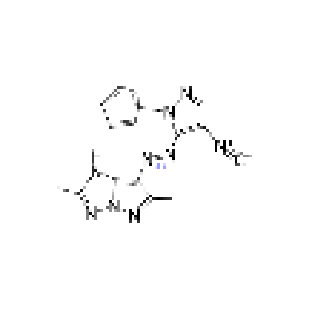 [C-]#[N+]c1cnn(-c2ccccc2)c1/N=N/c1c(C)nn2nc(C)[nH]c12